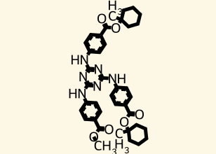 COC(=O)c1ccc(Nc2nc(Nc3ccc(C(=O)OC4(C)CCCCC4)cc3)nc(Nc3ccc(C(=O)OC4(C)CCCCC4)cc3)n2)cc1